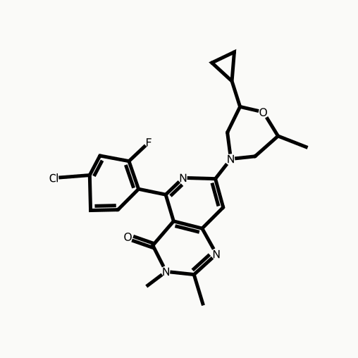 Cc1nc2cc(N3CC(C)OC(C4CC4)C3)nc(-c3ccc(Cl)cc3F)c2c(=O)n1C